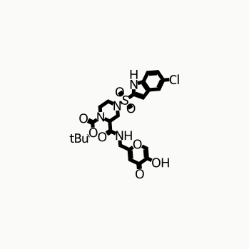 CC(C)(C)OC(=O)N1CCN(S(=O)(=O)c2cc3cc(Cl)ccc3[nH]2)CC1C(=O)NCc1cc(=O)c(O)co1